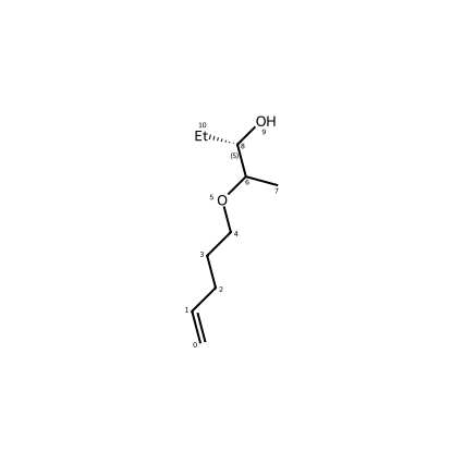 C=CCCCOC(C)[C@@H](O)CC